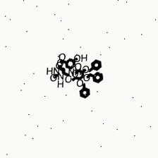 COC(=O)C1CC(O)C(OC2OC(C)C(OCc3ccccc3)C(OCc3ccccc3)C2OCc2ccccc2)[C@H](NC(=O)c2cc(=O)[nH]c(=O)[nH]2)C1